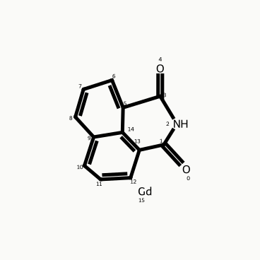 O=C1NC(=O)c2cccc3cccc1c23.[Gd]